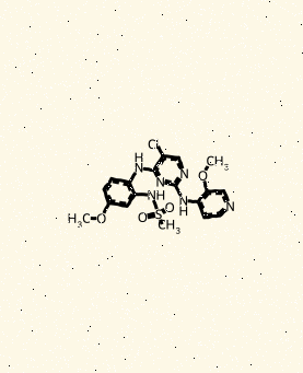 COc1ccc(Nc2nc(Nc3ccncc3OC)ncc2Cl)c(NS(C)(=O)=O)c1